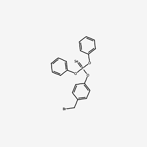 [Se]=P(Oc1ccccc1)(Oc1ccccc1)Oc1ccc(CBr)cc1